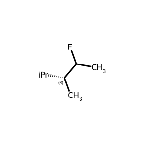 CC(C)[C@@H](C)C(C)F